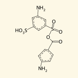 Nc1ccc(C(=O)OS(=O)(=O)c2cc(N)cc(S(=O)(=O)O)c2)cc1